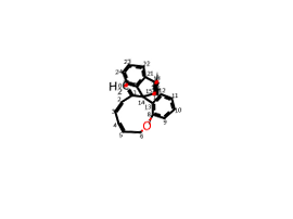 C=C1/C=C\C=C/COc2ccccc2C12c1ccccc1-c1ccccc12